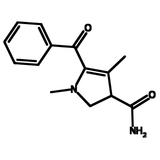 CC1=C(C(=O)c2ccccc2)N(C)CC1C(N)=O